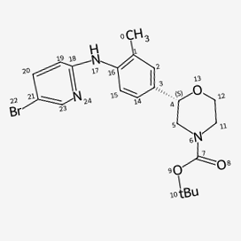 Cc1cc([C@H]2CN(C(=O)OC(C)(C)C)CCO2)ccc1Nc1ccc(Br)cn1